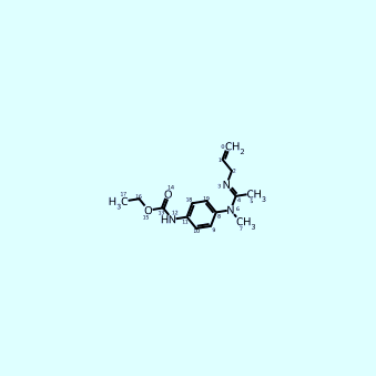 C=CCN=C(C)N(C)c1ccc(NC(=O)OCC)cc1